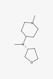 CN1CCC(N(C)[C@@H]2CCOC2)CC1